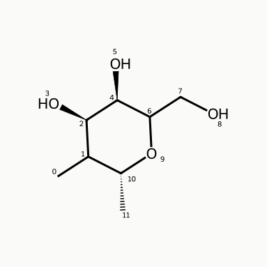 CC1[C@@H](O)[C@@H](O)C(CO)O[C@@H]1C